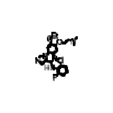 CCOc1cc2c(cc1OCCN(C)C)nc(Nc1c(F)cccc1Cl)c1cncn12